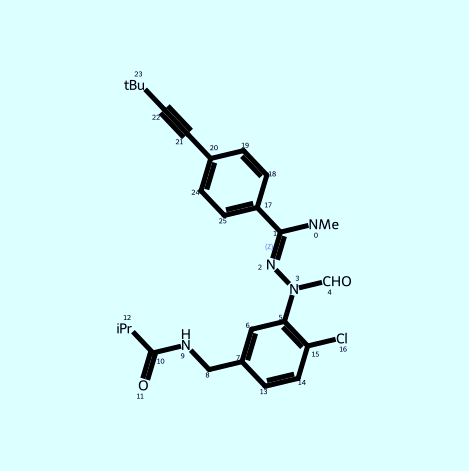 CN/C(=N\N(C=O)c1cc(CNC(=O)C(C)C)ccc1Cl)c1ccc(C#CC(C)(C)C)cc1